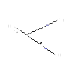 CCCCCC/C=C/COC(=O)CCCCCCCC(CCCCCCCC(=O)OC/C=C/CCCCCC)CCCCN1CNCN(C)C1